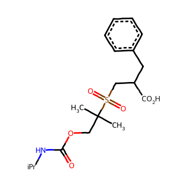 CC(C)NC(=O)OCC(C)(C)S(=O)(=O)CC(Cc1ccccc1)C(=O)O